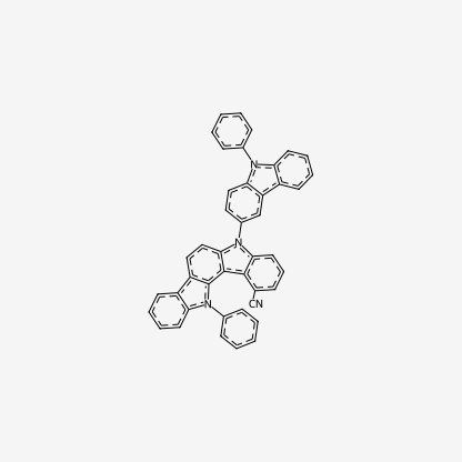 N#Cc1cccc2c1c1c(ccc3c4ccccc4n(-c4ccccc4)c31)n2-c1ccc2c(c1)c1ccccc1n2-c1ccccc1